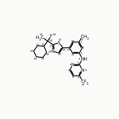 Cc1cc(Nc2nccc(C(F)(F)F)n2)cc(-c2cnc(C(C)(F)C3CCCCC3)s2)c1